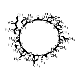 CC[C@@H]1NC(=O)[C@H](C[C@H](C)CC(O)CCO)N(C)C(=O)[C@H](C(C)C)N(C)C(=O)[C@H](CC(C)C)N(C)C(=O)[C@H](CC(C)C)N(C)C(=O)[C@@H](C)NC(=O)[C@H](C)NC(=O)[C@H](CC(C)C)N(C)C(=O)[C@H](C(C)C)NC(=O)[C@H](CC(C)(C)O)N(C)C(=O)CN(C)C1=O